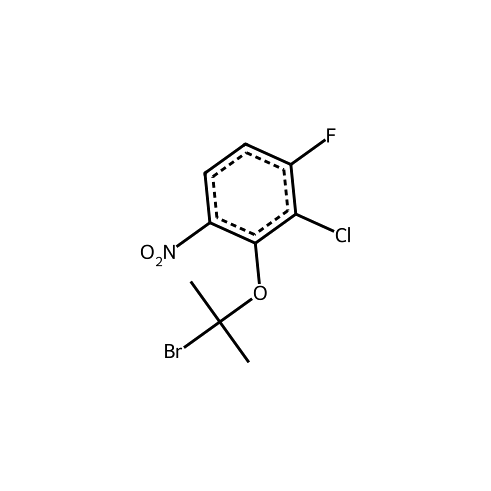 CC(C)(Br)Oc1c([N+](=O)[O-])ccc(F)c1Cl